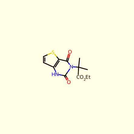 CCOC(=O)C(C)(C)n1c(=O)[nH]c2ccsc2c1=O